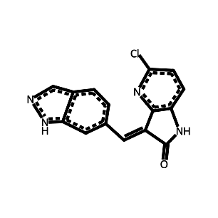 O=C1Nc2ccc(Cl)nc2/C1=C\c1ccc2cn[nH]c2c1